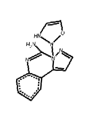 NC1=Nc2ccccc2C2=CC=N[N+]21N1NC=CO1